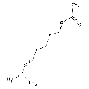 CC(=O)OCCCCC=CC(C)C